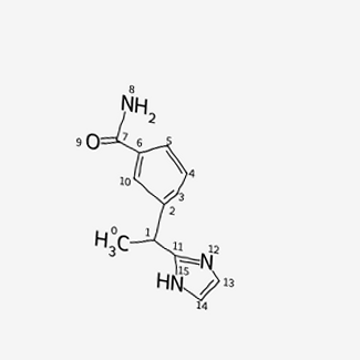 CC(c1cccc(C(N)=O)c1)c1ncc[nH]1